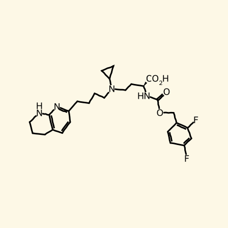 O=C(N[C@@H](CCN(CCCCc1ccc2c(n1)NCCC2)C1CC1)C(=O)O)OCc1ccc(F)cc1F